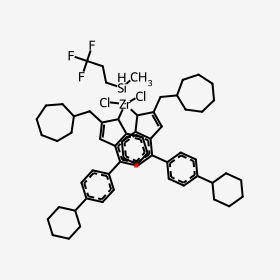 C[SiH](CCC(F)(F)F)[Zr]([Cl])([Cl])([CH]1C(CC2CCCCCC2)=Cc2c(-c3ccc(C4CCCCC4)cc3)cccc21)[CH]1C(CC2CCCCCC2)=Cc2c(-c3ccc(C4CCCCC4)cc3)cccc21